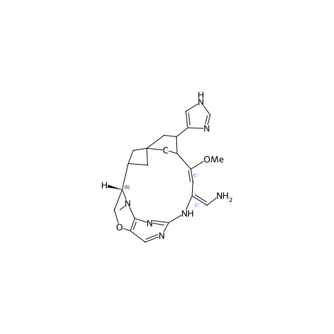 CO/C1=C/C(=C\N)Nc2ncc3c(n2)N(C)[C@H](CO3)C2CC3(CC1C(c1c[nH]cn1)C3)C2